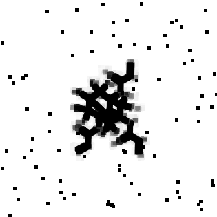 C=CC(=O)OC12C(F)C3(OC(=O)C=C)C(F)(F)C(F)(C1(F)F)C(F)(F)C(OC(=O)C=C)(C2(F)F)C3(F)F